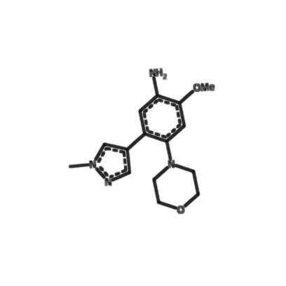 COc1cc(N2CCOCC2)c(-c2cnn(C)c2)cc1N